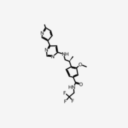 COc1cc(C(=O)NCC(F)(F)F)ccc1[C@H](C)CNc1cc(-c2ccc(C)nc2)ncn1